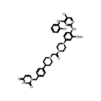 COc1cc(N2CCN(C(=O)CN3CCC(c4ccc(Cn5ccc(=O)[nH]c5=O)cc4)CC3)CC2)ccc1Nc1ncc(Cl)c(Nc2ccccc2C(C)=O)n1